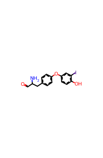 NC(C=O)Cc1ccc(Oc2ccc(O)c(I)c2)cc1